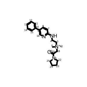 C[N+](C)(CCNc1ccc(-c2ccccc2)cn1)CC(=O)N1CCCC1